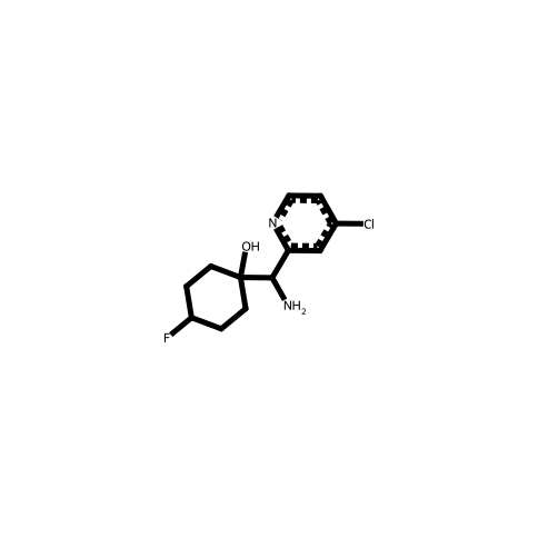 NC(c1cc(Cl)ccn1)C1(O)CCC(F)CC1